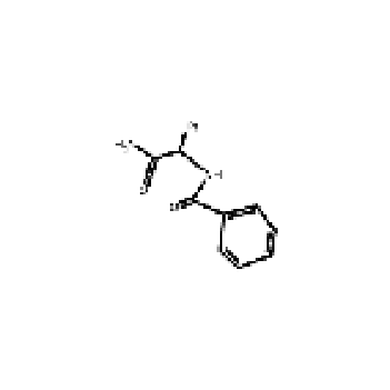 CC(C)C(NC(=O)c1ccccc1)C(N)=O